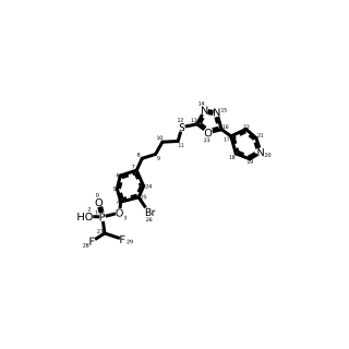 O=P(O)(Oc1ccc(CCCCSc2nnc(-c3ccncc3)o2)cc1Br)C(F)F